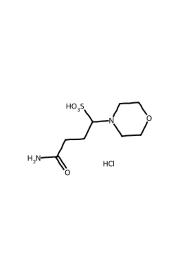 Cl.NC(=O)CCC(N1CCOCC1)S(=O)(=O)O